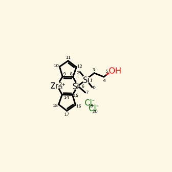 C[Si](C)(CCO)[Si]1(C)C2=[C](CC=C2)[Zr+2][C]2=C1C=CC2.[Cl-].[Cl-]